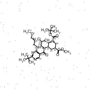 COCCCNc1nc(C(C)(C)C)ncc1C(=O)N(CC(C)C)C1CC(C(=O)OC)CN(C(=O)OC(C)(C)C)C1